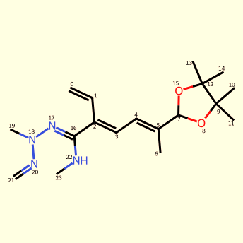 C=CC(=C\C=C(/C)C1OC(C)(C)C(C)(C)O1)/C(=N/N(C)N=C)NC